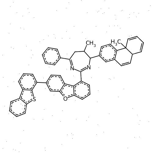 CC1CC(c2ccccc2)=NC(c2cccc3oc4cc(-c5cccc6c5sc5ccccc56)ccc4c23)=NC1c1ccc2c(c1)C=CC1C=CC=CC21C